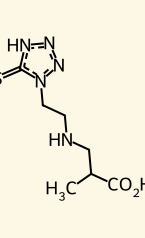 CC(CNCCn1nn[nH]c1=S)C(=O)O